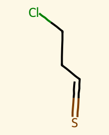 S=CCCCl